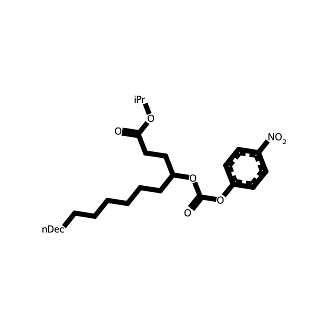 [CH2]C([CH2])OC(=O)CCC(CCCCCCCCCCCCCCCC)OC(=O)Oc1ccc([N+](=O)[O-])cc1